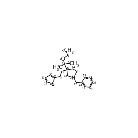 CCOC(C)(C)C1(CCc2cccs2)CCN(Cc2cccnc2)C1